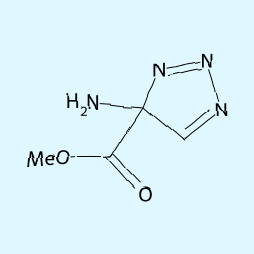 COC(=O)C1(N)C=NN=N1